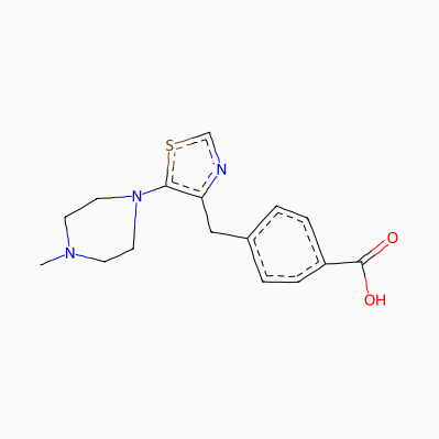 CN1CCN(c2scnc2Cc2ccc(C(=O)O)cc2)CC1